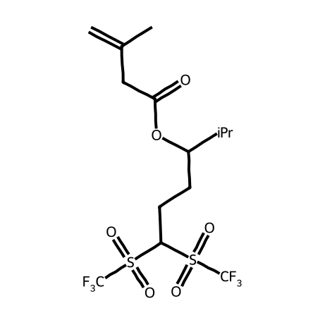 C=C(C)CC(=O)OC(CCC(S(=O)(=O)C(F)(F)F)S(=O)(=O)C(F)(F)F)C(C)C